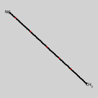 CC#CC#CC#CC#CC#CC#CC#CC#CC#CC#CC#CC#CC#CC#CC#CC#CC#CC#CC#CC#CC#CC#CC#CC#CC#CC#CC#CC#CC#CC#CC#CC#CC#CC#CC#CC#CC#CC#CC#CC#CC#CC#CC#CC#CC#CC#CC#CC#N